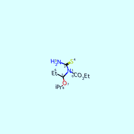 CCOC(=O)N(C(N)=S)C(CC)OC(C)C